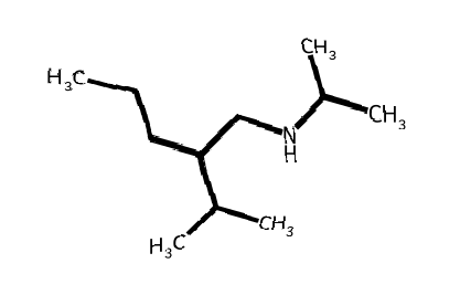 CCCC(CNC(C)C)C(C)C